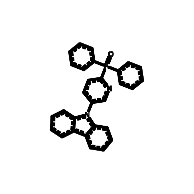 O=P(c1ccccc1)(c1ccccc1)c1ccc(-n2c3ccccc3c3ccccc32)cn1